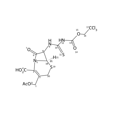 CC(=O)OCC1=C(C(=O)O)N2C(=O)C(NC(=S)NC(=O)OCC(Cl)(Cl)Cl)[C@H]2SC1